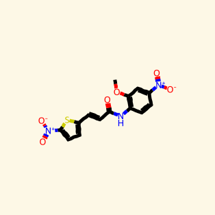 COc1cc([N+](=O)[O-])ccc1NC(=O)C=Cc1ccc([N+](=O)[O-])s1